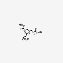 CC(C)(C)OC(=O)NCC(CNC(=O)OC(C)(C)C)OC(=O)CCC(=O)O